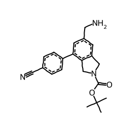 CC(C)(C)OC(=O)N1Cc2cc(CN)cc(-c3ccc(C#N)cc3)c2C1